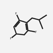 CC(C)CC1=C(F)CC(F)C=C1F